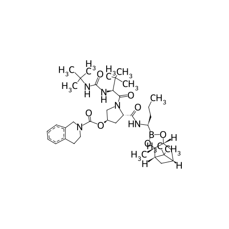 CCC[C@H](NC(=O)[C@@H]1C[C@@H](OC(=O)N2CCc3ccccc3C2)CN1C(=O)[C@@H](NC(=O)NC(C)(C)C)C(C)(C)C)B1O[C@@H]2C[C@@H]3C[C@@H](C3(C)C)[C@]2(C)O1